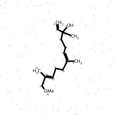 C=CC(C)(O)CCC=C(C)CCC=C(C)COC